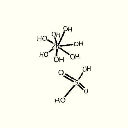 O=S(=O)(O)O.[OH][Zn]([OH])([OH])([OH])([OH])([OH])[OH]